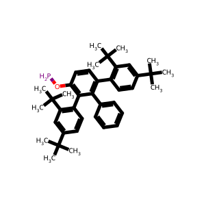 CC(C)(C)c1ccc(-c2ccc(OP)c(-c3ccc(C(C)(C)C)cc3C(C)(C)C)c2-c2ccccc2)c(C(C)(C)C)c1